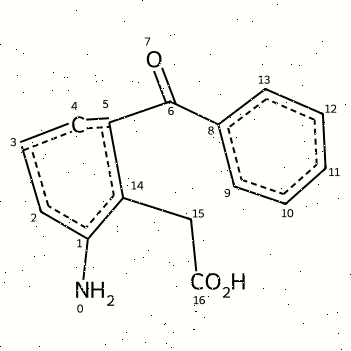 Nc1cccc(C(=O)c2ccccc2)c1CC(=O)O